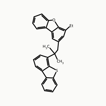 CCc1cc(CC(C)(C)c2cccc3c2sc2ccccc23)cc2c1oc1ccccc12